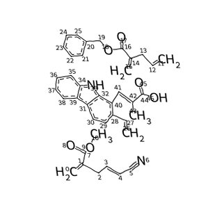 C=C(CC=CC#N)C(=O)OC.C=CCC(=C)C(=O)OCc1ccccc1.C=Cc1ccc2c([nH]c3ccccc32)c1C=C(C)C(=O)O